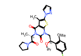 COc1ccc(F)cc1[C@H](Cn1c(=O)n([C@@H](C)C(=O)N2CCCC2)c(=O)c2c(C)c(-n3cccn3)sc21)OC(C)C